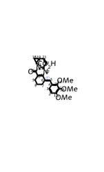 COc1ccc(/C=C2\CCCc3c2nc2n(c3=O)C3CC3(C(=O)O)C=C2)c(OC)c1OC